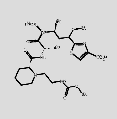 CCCCCCN(C(=O)[C@@H](NC(=O)[C@H]1CCCCN1CCNC(=O)OC(C)(C)C)[C@@H](C)CC)[C@H](C[C@@H](OCC)c1nc(C(=O)O)cs1)C(C)C